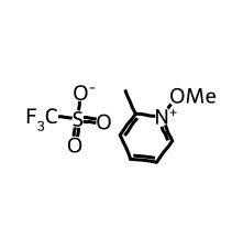 CO[n+]1ccccc1C.O=S(=O)([O-])C(F)(F)F